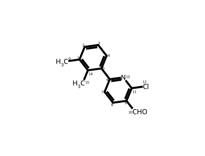 Cc1cccc(-c2ccc(C=O)c(Cl)n2)c1C